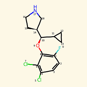 Fc1ccc(Cl)c(Cl)c1O[C@H](C1CC1)[C@H]1CCNC1